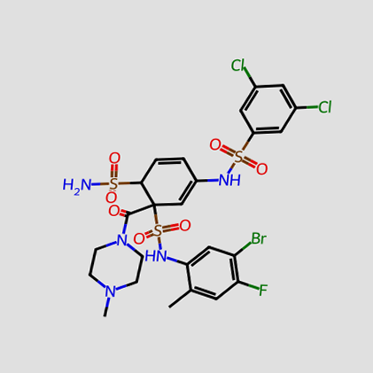 Cc1cc(F)c(Br)cc1NS(=O)(=O)C1(C(=O)N2CCN(C)CC2)C=C(NS(=O)(=O)c2cc(Cl)cc(Cl)c2)C=CC1S(N)(=O)=O